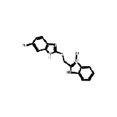 CC[n+]1c(CSc2nc3ccc(Br)cc3[nH]2)[nH]c2ccccc21